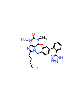 CCCCc1nc2c(c(=O)n(C)c(=O)n2C)n1Cc1ccc(-c2ccccc2-c2nnn[nH]2)cc1